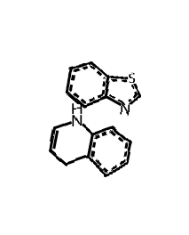 C1=CNc2ccccc2C1.c1ccc2scnc2c1